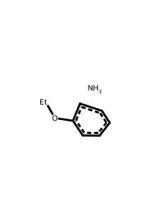 CCOc1ccccc1.N